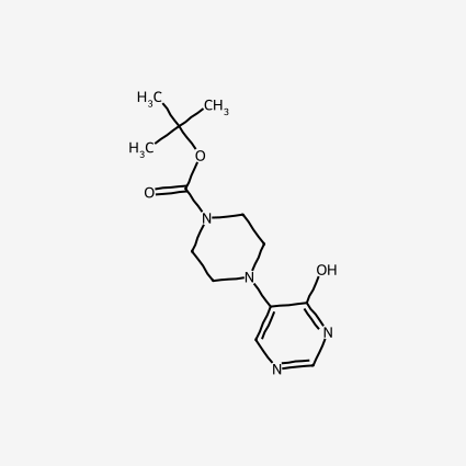 CC(C)(C)OC(=O)N1CCN(c2cncnc2O)CC1